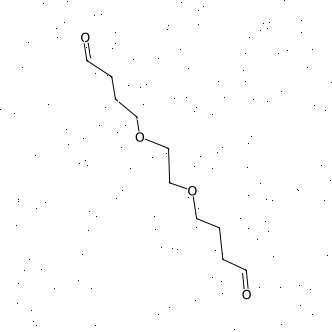 O=CCCCOCCOCCCC=O